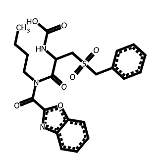 CCCCN(C(=O)c1nc2ccccc2o1)C(=O)C(CS(=O)(=O)Cc1ccccc1)NC(=O)O